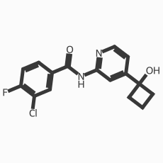 O=C(Nc1cc(C2(O)CCC2)ccn1)c1ccc(F)c(Cl)c1